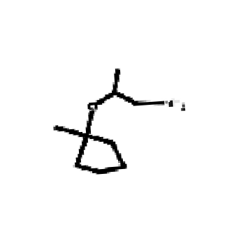 CC(C[SiH3])OC1(C)CCCC1